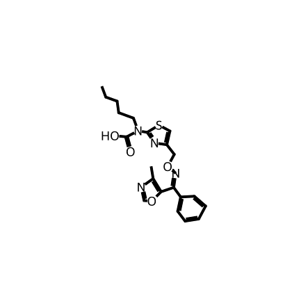 CCCCCN(C(=O)O)c1nc(CO/N=C(/c2ccccc2)c2ocnc2C)cs1